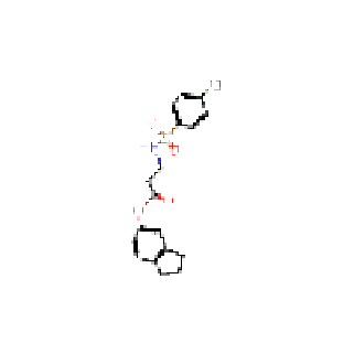 O=C(CCNS(=O)(=O)c1ccc(Cl)cc1)Oc1ccc2c(c1)CCC2